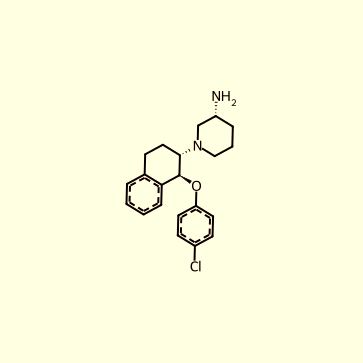 N[C@@H]1CCCN([C@H]2CCc3ccccc3[C@@H]2Oc2ccc(Cl)cc2)C1